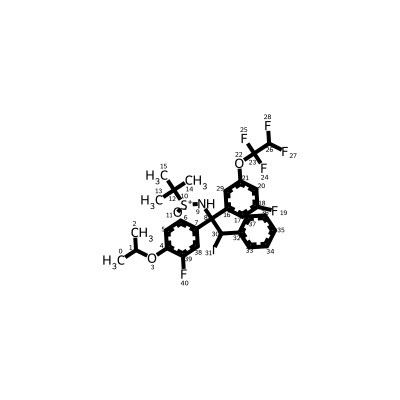 CC(C)Oc1ccc(C(N[S+]([O-])C(C)(C)C)(c2cc(F)cc(OC(F)(F)C(F)F)c2)C(I)c2ccccc2)cc1F